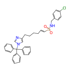 O=S(=O)(/C=C/CCCCc1cn(C(c2ccccc2)(c2ccccc2)c2ccccc2)cn1)NCc1ccc(Cl)cc1